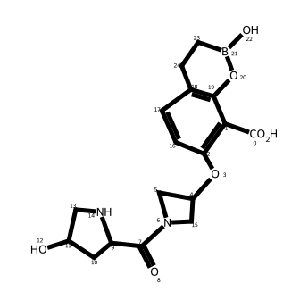 O=C(O)c1c(OC2CN(C(=O)C3CC(O)CN3)C2)ccc2c1OB(O)CC2